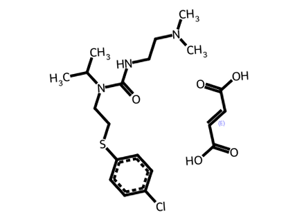 CC(C)N(CCSc1ccc(Cl)cc1)C(=O)NCCN(C)C.O=C(O)/C=C/C(=O)O